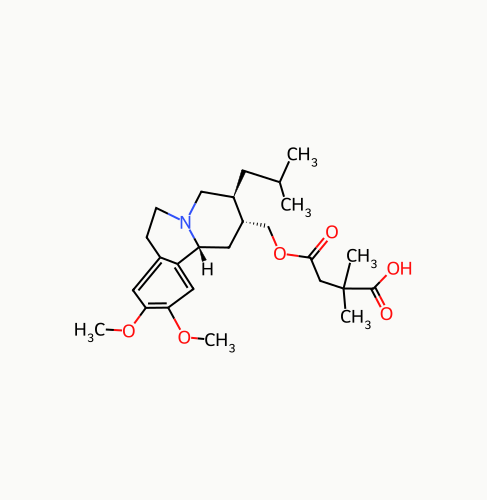 COc1cc2c(cc1OC)[C@H]1C[C@@H](COC(=O)CC(C)(C)C(=O)O)[C@H](CC(C)C)CN1CC2